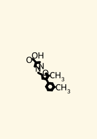 Cc1cccc(-c2cc(Cn3cc(C(=O)O)cn3)oc2C)c1